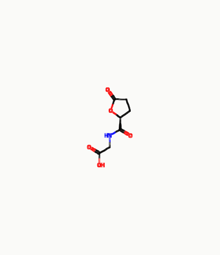 O=C(O)CNC(=O)[C@@H]1CCC(=O)O1